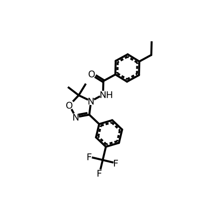 CCc1ccc(C(=O)NN2C(c3cccc(C(F)(F)F)c3)=NOC2(C)C)cc1